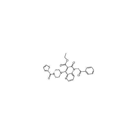 CCOC(=O)c1c(N2CCN(C(=O)c3cccs3)CC2)c2ncccc2n(CC(=O)c2ccccc2)c1=O